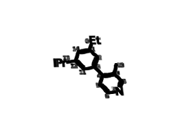 CCc1cc(-c2ccncc2C)cc(C(C)C)c1